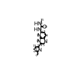 Cc1nc(-c2cnc3ccc(NC(=O)NI)nc3n2)cs1